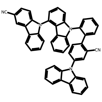 N#Cc1ccc2c(c1)c1ccccc1n2-c1cccc2c1c1ccccc1n2-c1ccccc1-c1ccc(-n2c3ccccc3c3ccccc32)cc1C#N